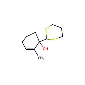 CC1=CCCCC1(O)C1SCCCS1